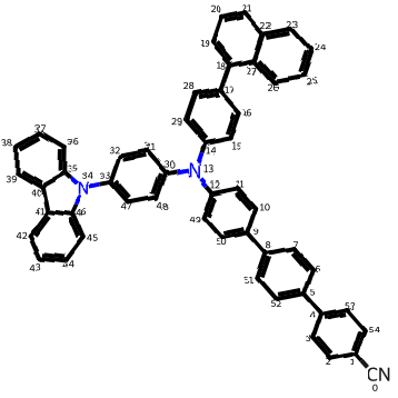 N#Cc1ccc(-c2ccc(-c3ccc(N(c4ccc(-c5cccc6ccccc56)cc4)c4ccc(-n5c6ccccc6c6ccccc65)cc4)cc3)cc2)cc1